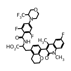 Cc1c(-c2ccc(CC(NC(=O)c3c(F)cc(N4CCOCC4C(F)(F)F)cc3F)C(=O)O)c3c2OCCC3)c(=O)n(C)c2ccc(F)cc12